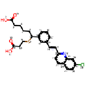 O=C(O)CCCCC(SCCC(=O)O)c1cccc(/C=C/c2ccc3ccc(Cl)cc3n2)c1